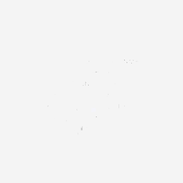 CNC(=O)c1cc(C=O)cn(Cc2cccc(C)c2/C=C\C(C)C)c1=O